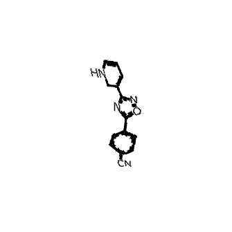 N#Cc1ccc(-c2nc(C3=CC=CNC3)no2)cc1